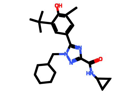 Cc1cc(-c2nc(C(=O)NC3CC3)nn2CC2CCCCC2)cc(C(C)(C)C)c1O